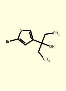 CCC(O)(CC)c1csc(Br)c1